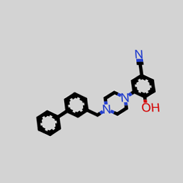 N#Cc1ccc(O)c(N2CCN(Cc3cccc(-c4ccccc4)c3)CC2)c1